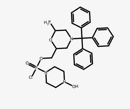 O=P(Cl)(OCC1CN(C(c2ccccc2)(c2ccccc2)c2ccccc2)CC(P)O1)N1CCN(O)CC1